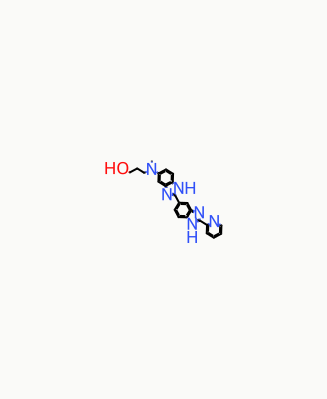 CN(CCCO)c1ccc2[nH]c(-c3ccc4[nH]c(-c5ccccn5)nc4c3)nc2c1